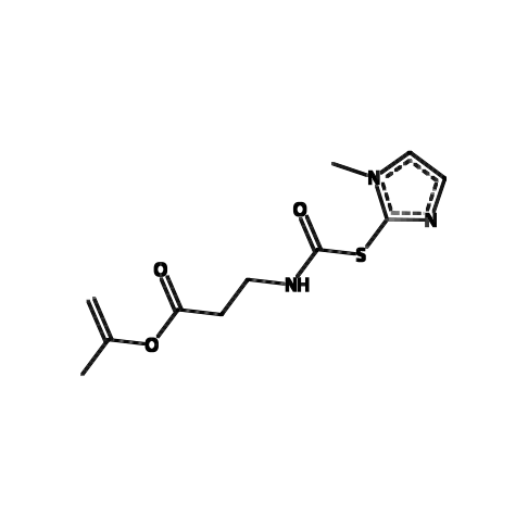 C=C(C)OC(=O)CCNC(=O)Sc1nccn1C